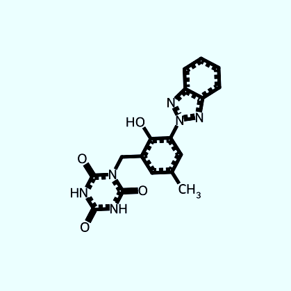 Cc1cc(Cn2c(=O)[nH]c(=O)[nH]c2=O)c(O)c(-n2nc3ccccc3n2)c1